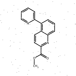 COC(=O)c1ccc2c(-c3ccccn3)cccc2n1